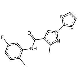 Cc1ccc(F)cc1NC(=O)c1cn(-c2nccs2)nc1C